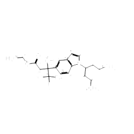 CCCC(CCC)n1ccc2cc(C(O)(CC(=O)OCC)C(F)(F)F)ccc21